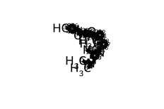 CCCN(CC)Cc1cc(C#N)c2oc(-c3cccc(-c4cccc(-c5nc6c(o5)CN(C(=O)CN5CCC(O)CC5)C6)c4C)c3C)nc2c1